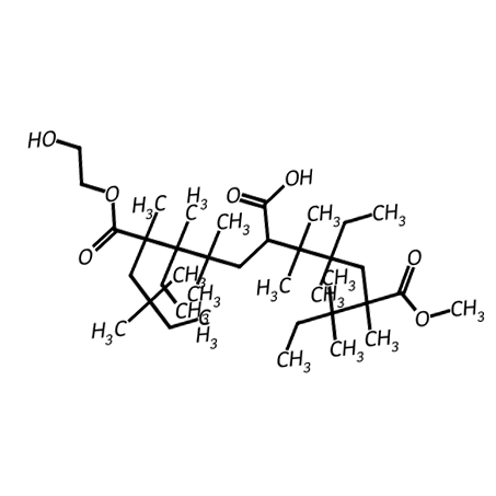 CCC(C)(C)CC(C)(C(=O)OCCO)C(C)(CC)C(C)(C)CC(C(=O)O)C(C)(C)C(C)(CC)CC(C)(C(=O)OC)C(C)(C)CC